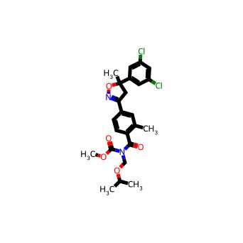 COC(=O)N(COC(C)C)C(=O)c1ccc(C2=NOC(C)(c3cc(Cl)cc(Cl)c3)C2)cc1C